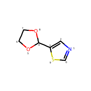 c1ncc(C2OCCO2)s1